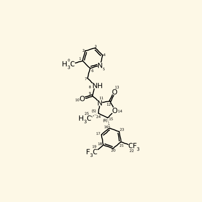 Cc1cccnc1CNC(=O)N1C(=O)O[C@H](c2cc(C(F)(F)F)cc(C(F)(F)F)c2)[C@@H]1C